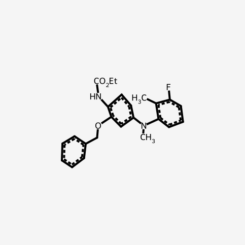 CCOC(=O)Nc1ccc(N(C)c2cccc(F)c2C)cc1OCc1ccccc1